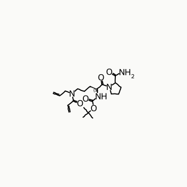 C=CCN(CCC[C@H](NC(=O)OC(C)(C)C)C(=O)N1CCCC1C(N)=O)C(=O)C=C